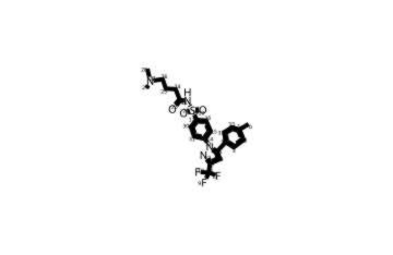 Cc1ccc(-c2cc(C(F)(F)F)nn2-c2ccc(S(=O)(=O)NC(=O)CCCN(C)C)cc2)cc1